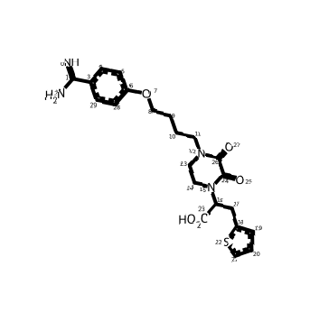 N=C(N)c1ccc(OCCCCN2CCN(C(Cc3cccs3)C(=O)O)C(=O)C2=O)cc1